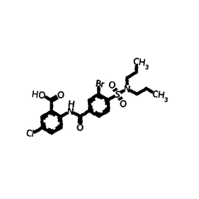 CCCN(CCC)S(=O)(=O)c1ccc(C(=O)Nc2ccc(Cl)cc2C(=O)O)cc1Br